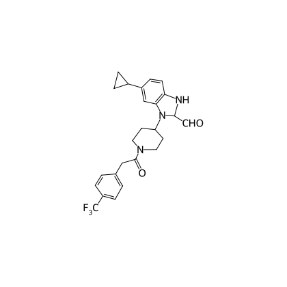 O=CC1Nc2ccc(C3CC3)cc2N1C1CCN(C(=O)Cc2ccc(C(F)(F)F)cc2)CC1